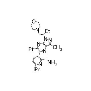 CCc1nc2c(nc1-c1ccc(C(C)C)nc1CN)c(C)nn2C(CC)CN1CCOCC1